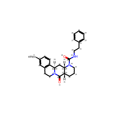 CCCCCCc1ccc2c(c1)CCN1C(=O)[C@H]3CCCN(C(=O)NCCc4ccccc4)[C@H]3C[C@H]21